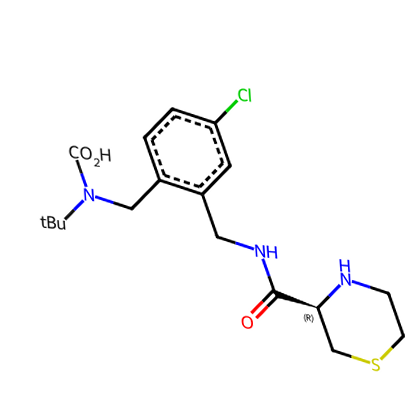 CC(C)(C)N(Cc1ccc(Cl)cc1CNC(=O)[C@@H]1CSCCN1)C(=O)O